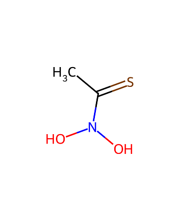 CC(=S)N(O)O